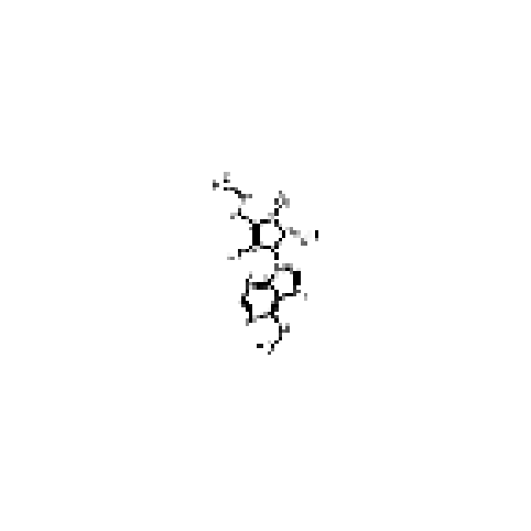 CNc1ncnc2c1ncn2[C@@H]1C(F)=C(CCO)[C@@H](O)[C@H]1O